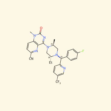 CC[C@@H]1CN(c2nc(=O)n(C)c3ccc(C#N)nc23)[C@@H](C)CN1[C@@H](c1ccc(F)cc1)c1ccc(C(F)(F)F)cn1